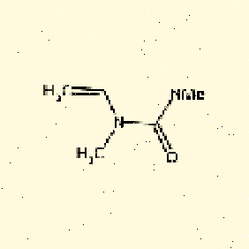 C=CN(C)C(=O)NC